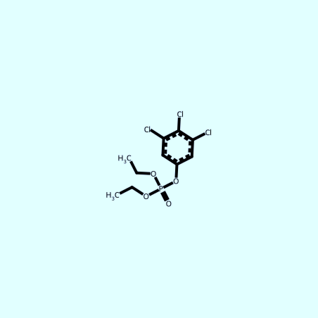 CCOP(=O)(OCC)Oc1cc(Cl)c(Cl)c(Cl)c1